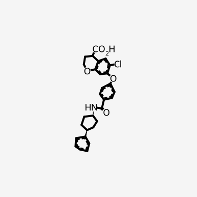 O=C(N[C@H]1CC[C@H](c2ccccc2)CC1)c1ccc(Oc2cc3c(cc2Cl)C(C(=O)O)CCO3)cc1